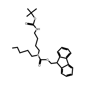 CCCCCN(CCCCNC(=O)OC(C)(C)C)C(=O)OCC1c2ccccc2-c2ccccc21